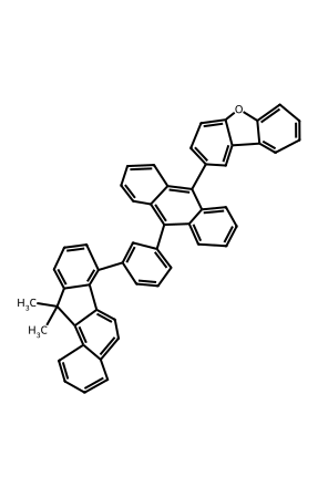 CC1(C)c2cccc(-c3cccc(-c4c5ccccc5c(-c5ccc6oc7ccccc7c6c5)c5ccccc45)c3)c2-c2ccc3ccccc3c21